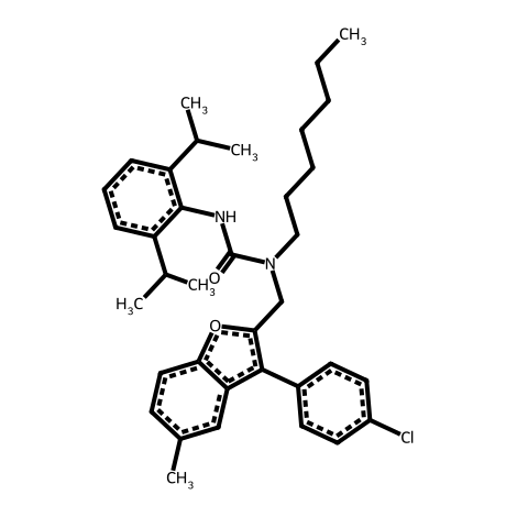 CCCCCCCN(Cc1oc2ccc(C)cc2c1-c1ccc(Cl)cc1)C(=O)Nc1c(C(C)C)cccc1C(C)C